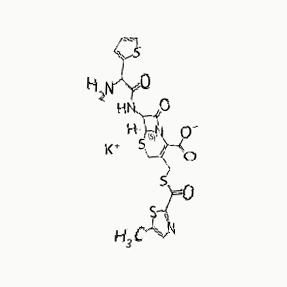 Cc1cnc(C(=O)SCC2=C(C(=O)[O-])N3C(=O)C(NC(=O)C(N)c4cccs4)[C@@H]3SC2)s1.[K+]